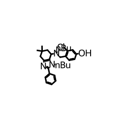 CCCCN(Cc1ccc(O)cc1Cl)C1CC(C)(C)Cc2nc(-c3ccccc3)n(CCCC)c21